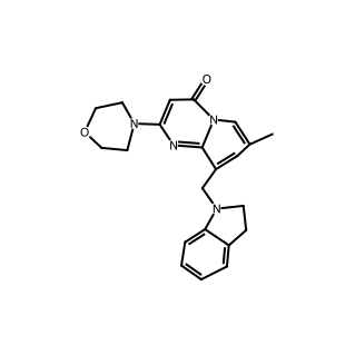 Cc1cc(CN2CCc3ccccc32)c2nc(N3CCOCC3)cc(=O)n2c1